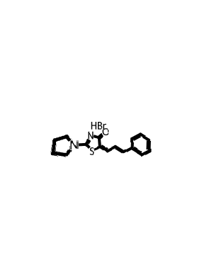 Br.O=C1N=C(N2CCCC2)SC1=CC=Cc1ccccc1